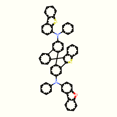 c1ccc(N(c2ccc3c(c2)-c2sc4ccccc4c2C32c3ccccc3-c3cc(N(c4ccccc4)c4cccc5c4sc4ccccc45)ccc32)c2ccc3oc4ccccc4c3c2)cc1